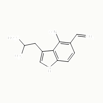 C=Cc1ccc2[nH]cc(CC(C)C(=O)O)c2c1[N+](=O)[O-]